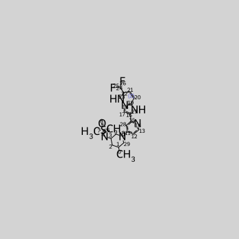 CC1CC(N=S(C)(C)=O)CN(c2ccnc(-c3cnc(/C=C\C(=N)C(F)F)[nH]3)c2)C1